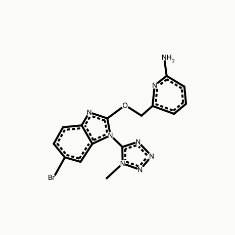 Cn1nnnc1-n1c(OCc2cccc(N)n2)nc2ccc(Br)cc21